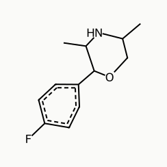 CC1COC(c2ccc(F)cc2)C(C)N1